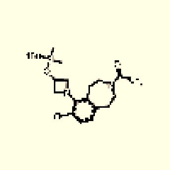 CC(C)(C)[Si](C)(C)OC1CN(c2c(Cl)ccc3c2CCN(C(=O)C(F)(F)F)CC3)C1